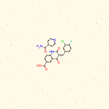 NC(=O)c1ccncc1.O=C1Nc2ccc(C(=O)O)cc2C(=O)/C1=C/c1ccc(F)c(Cl)c1